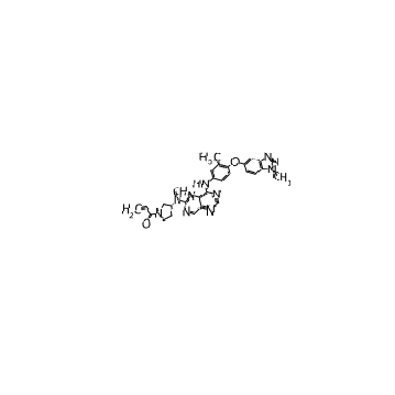 C=CC(=O)N1CC[C@@H](N(C)c2ncc3ncnc(Nc4ccc(Oc5ccc6c(c5)nnn6C)c(C)c4)c3n2)C1